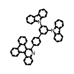 c1ccc2c(c1)nc(-c1ccc(-c3cc(-n4c5ccccc5c5ccccc54)cc(-n4c5ccccc5c5ccccc54)c3)cc1)c1c3ccccc3c3ccccc3c21